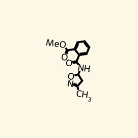 COC(=O)c1ccccc1C(=O)NC1CC(C)=NO1